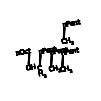 CCCCCC.CCCCCC.CCCCCC.CCCCCC.CCCCCCCCO